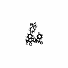 CS(=O)(=O)N1CCN(c2ccc(C3(C(=O)N4CC[C@@]5(C4)OC(=O)c4ccccc45)CC3)cc2)CC1